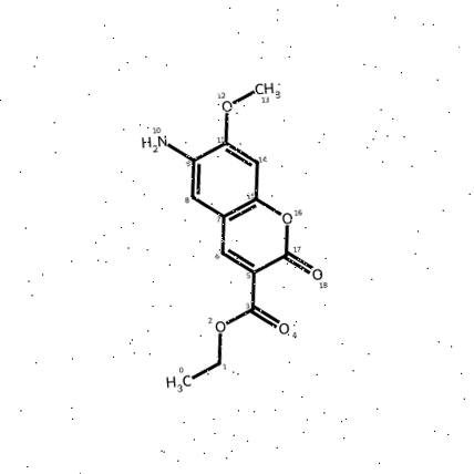 CCOC(=O)c1cc2cc(N)c(OC)cc2oc1=O